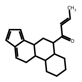 CC=CC(=O)C1CC2C3=CC=CC3=CCC2C2CCCCC12